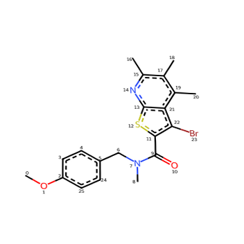 COc1ccc(CN(C)C(=O)c2sc3nc(C)c(C)c(C)c3c2Br)cc1